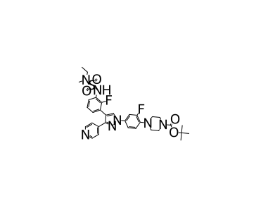 CCN(C)S(=O)(=O)Nc1cccc(-c2cn(-c3ccc(N4CCN(C(=O)OC(C)(C)C)CC4)c(F)c3)nc2-c2ccncc2)c1F